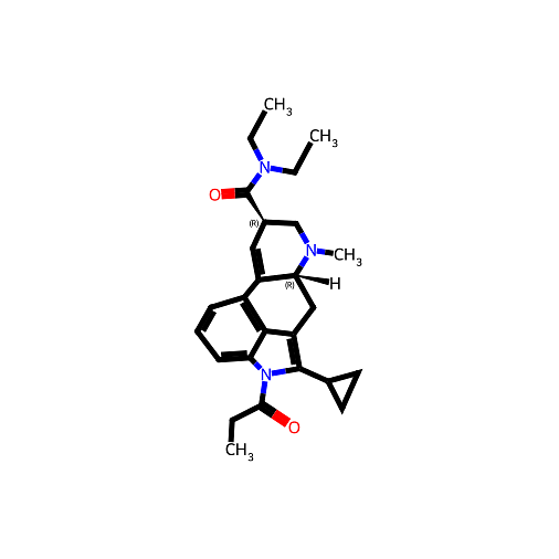 CCC(=O)n1c(C2CC2)c2c3c(cccc31)C1=C[C@@H](C(=O)N(CC)CC)CN(C)[C@@H]1C2